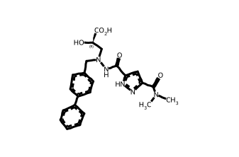 CN(C)C(=O)c1cc(C(=O)NN(Cc2ccc(-c3ccccc3)cc2)C[C@@H](O)C(=O)O)[nH]n1